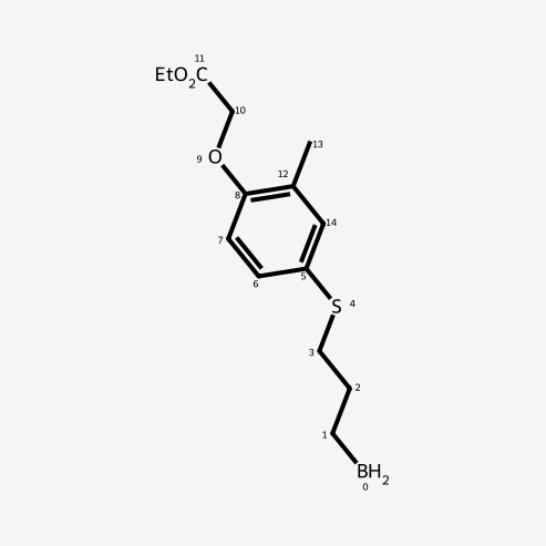 BCCCSc1ccc(OCC(=O)OCC)c(C)c1